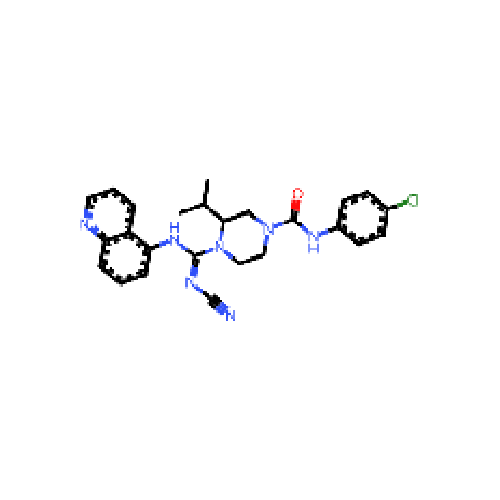 CC(C)C1CN(C(=O)Nc2ccc(Cl)cc2)CCN1/C(=N\C#N)Nc1cccc2ncccc12